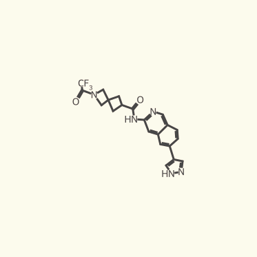 O=C(Nc1cc2cc(-c3cn[nH]c3)ccc2cn1)C1CC2(C1)CN(C(=O)C(F)(F)F)C2